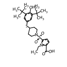 CCn1c(C(=O)O)ccc1S(=O)(=O)N1CCC(Sc2cc(C(C)(C)C)c(O)c(C(C)(C)C)c2)CC1